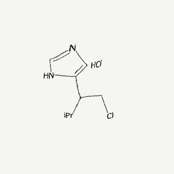 CC(C)C(CCl)c1cnc[nH]1.Cl